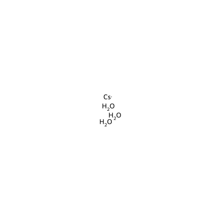 O.O.O.[Cs]